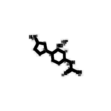 Cl.NC1CCN(C2CCC(NC(=O)O)CC2)C1.[H+]